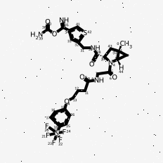 C[C@@]12C[C@@H]1N(C(=O)CNC(=O)CCCOc1ccc(S(F)(F)(F)(F)F)cc1)[C@H](C(=O)NCc1cc(C(=N)OC(N)=O)cs1)C2